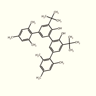 Cc1cc(C)c(-c2cc(-c3cc(-c4c(C)cc(C)cc4C)cc(C(C)(C)C)c3O)c(O)c(C(C)(C)C)c2)c(C)c1